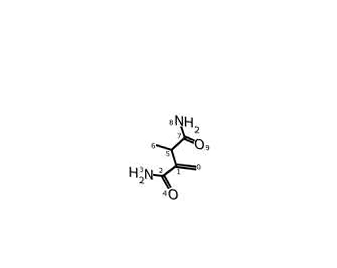 C=C(C(N)=O)C(C)C(N)=O